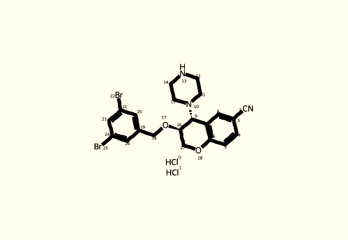 Cl.Cl.N#Cc1ccc2c(c1)[C@@H](N1CCNCC1)[C@H](OCc1cc(Br)cc(Br)c1)CO2